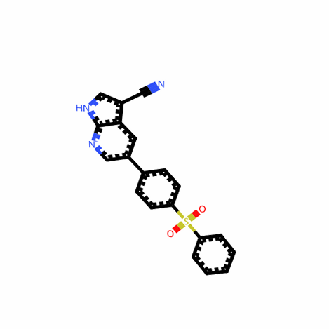 N#Cc1c[nH]c2ncc(-c3ccc(S(=O)(=O)c4ccccc4)cc3)cc12